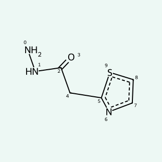 NNC(=O)Cc1nccs1